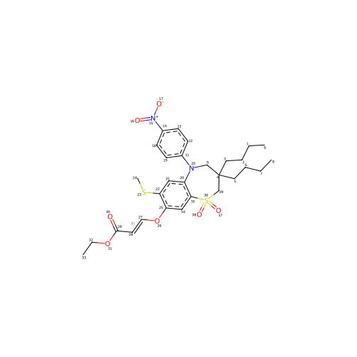 CCCCC1(CCCC)CN(c2ccc([N+](=O)[O-])cc2)c2cc(SC)c(O/C=C/C(=O)OCC)cc2S(=O)(=O)C1